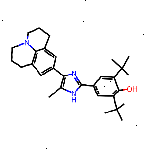 Cc1[nH]c(-c2cc(C(C)(C)C)c(O)c(C(C)(C)C)c2)nc1-c1cc2c3c(c1)CCCN3CCC2